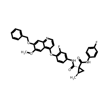 COc1cc2c(Oc3ccc(NC(=O)[C@]4(C(=O)Nc5ccc(F)cc5)C[C@H]4C)cc3F)ccnc2cc1OCc1ccccc1